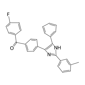 Cc1cccc(-c2nc(-c3ccc(C(=O)c4ccc(F)cc4)cc3)c(-c3ccccc3)[nH]2)c1